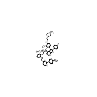 CCOC(=O)[C@@H](Cc1ccccc1OCc1ccnc(-c2ccc(O)cc2)n1)Oc1ncnc2sc(-c3ccc(F)cc3)c(-c3ccc(OCCN4CCN(C)CC4)c(Cl)c3C)c12